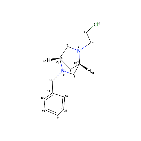 ClCCN1C[C@@H]2C[C@H]1CN2Cc1ccccc1